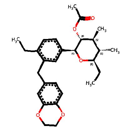 CCc1ccc([C@@H]2O[C@H](CC)[C@@H](C)[C@H](C)[C@H]2OC(C)=O)cc1Cc1ccc2c(c1)OCCO2